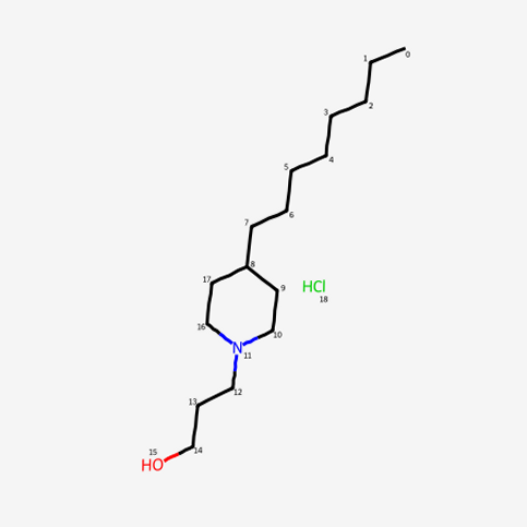 CCCCCCCCC1CCN(CCCO)CC1.Cl